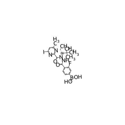 CC[C@@H](N(NC(=O)c1ccc(B(O)O)cc1F)C(=O)c1nc(C)cc(I)n1)C(C)(C)C